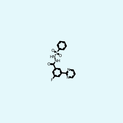 O=C(NNS(=O)(=O)c1ccccc1)c1cc(F)cc(-c2ncccn2)c1